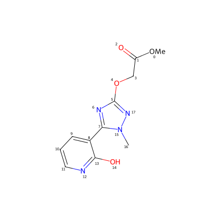 COC(=O)COc1nc(-c2cccnc2O)n(C)n1